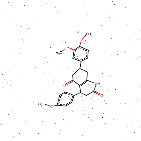 COc1ccc(C2CC(=O)NC3=C2C(=O)CC(c2ccc(OC)c(OC)c2)C3)cc1